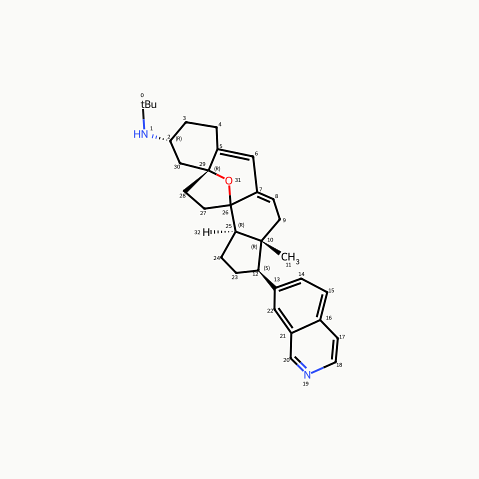 CC(C)(C)N[C@@H]1CCC2=CC3=CC[C@]4(C)[C@@H](c5ccc6ccncc6c5)CC[C@H]4C34CC[C@]2(C1)O4